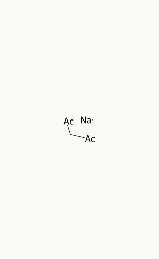 CC(=O)CC(C)=O.[Na]